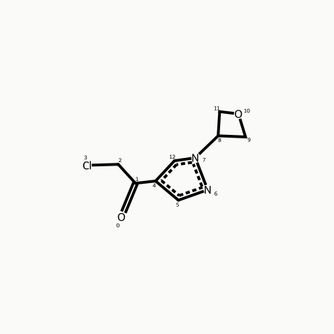 O=C(CCl)c1cnn(C2COC2)c1